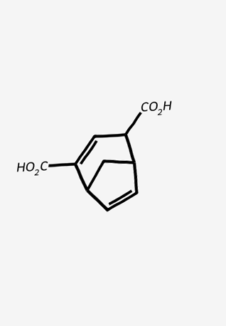 O=C(O)C1=CC(C(=O)O)C2C=CC1C2